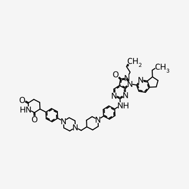 C=CCn1c(=O)c2cnc(Nc3ccc(N4CCC(CN5CCN(c6ccc(C7CCC(=O)NC7=O)cc6)CC5)CC4)cc3)nc2n1-c1ccc2c(n1)C(CC)CC2